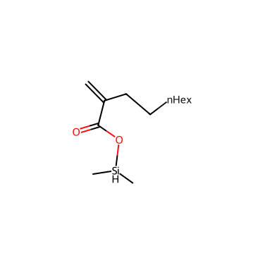 C=C(CCCCCCCC)C(=O)O[SiH](C)C